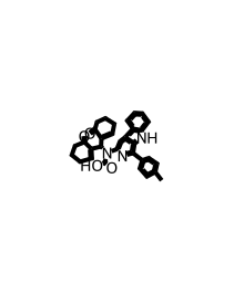 Cc1ccc(-c2nc(N(C(=O)O)C(C3=CCCCC3=O)C3=CCCCC3=O)cc3c2[nH]c2ccccc23)cc1